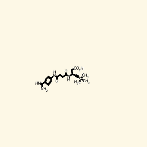 C[Si](C)(C)C#CC(CC(=O)O)NC(=O)CCC(=O)Nc1ccc(C(=N)N)cc1